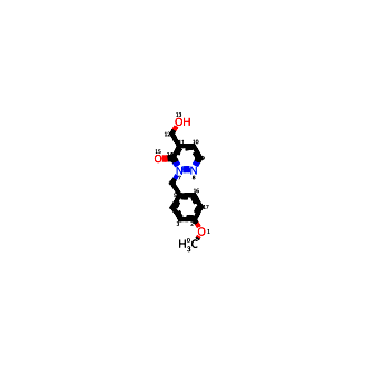 COc1ccc(Cn2nccc(CO)c2=O)cc1